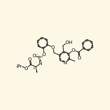 Cc1ncc(COc2ccccc2O[P+]([O-])=N[C@@H](C)C(=O)OC(C)C)c(CO)c1OC(=O)c1ccccc1